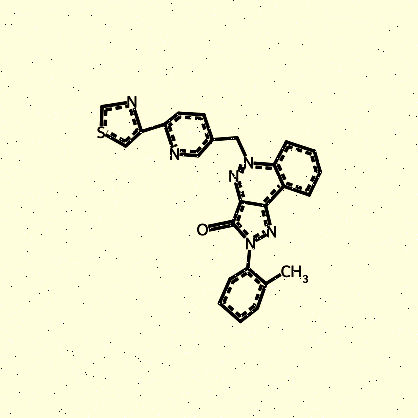 Cc1ccccc1-n1nc2c3ccccc3n(Cc3ccc(-c4cscn4)nc3)nc-2c1=O